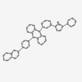 c1ccc(-c2ccc(-c3cccc(-c4c5ccccc5c(-c5ccc(-c6ccc7ccccc7c6)cc5)c5ccccc45)c3)s2)cc1